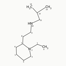 CCN1CCCCC1CCNCC(C)C